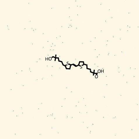 CC(C)(CO)CCCCC1CCC(/C=C/C2CCC(CCCCC(C)(C)C(=O)O)S2)S1